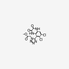 COC(=O)Cn1nnnc1-c1c(Cl)c(Cl)cc2[nH]c(=O)c(=O)[nH]c12